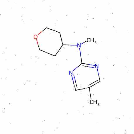 Cc1cnc(N(C)C2CCOCC2)nc1